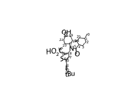 CC1CCC(C(=O)N(c2cc(C#CC(C)(C)C)sc2C(=O)O)C2CCC(O)CC2)CC1